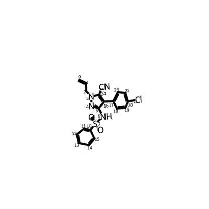 C=CCn1nc(NS(=O)(=O)c2ccccc2)c(-c2ccc(Cl)cc2)c1C#N